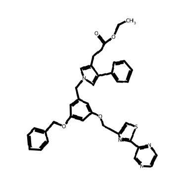 CCOC(=O)CCc1cn(Cc2cc(OCc3ccccc3)cc(OCc3csc(-c4cnccn4)n3)c2)cc1-c1ccccc1